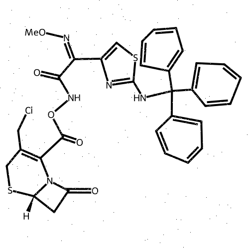 CO/N=C(\C(=O)NOC(=O)C1=C(CCl)CS[C@H]2CC(=O)N12)c1csc(NC(c2ccccc2)(c2ccccc2)c2ccccc2)n1